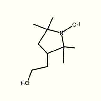 CC1(C)CC(CCO)C(C)(C)N1O